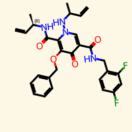 C=CC(C)Nn1cc(C(=O)NCc2ccc(F)cc2F)c(=O)c(OCc2ccccc2)c1C(=O)N[C@H](C)C=C